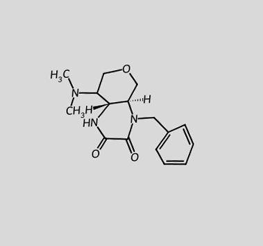 CN(C)C1COC[C@@H]2[C@@H]1NC(=O)C(=O)N2Cc1ccccc1